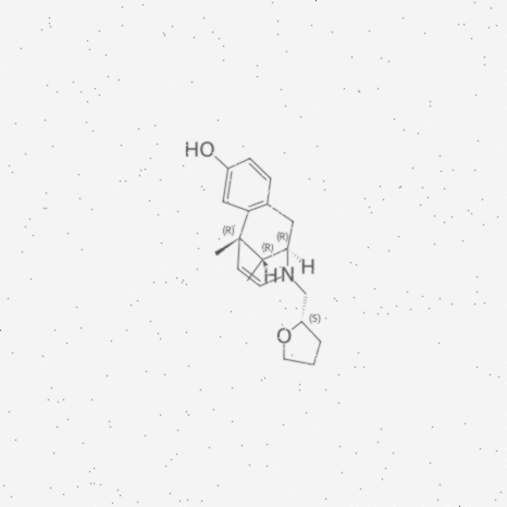 C[C@H]1[C@H]2Cc3ccc(O)cc3[C@@]1(C)C=CN2C[C@@H]1CCCO1